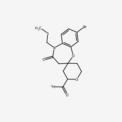 [2H]C(=O)C1CC2(CCO1)CC(=O)N(CSC)c1ccc(Br)cc1O2